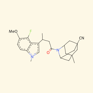 COc1ccc2c(c(C(C)CC(=O)N3C4CC5(C)CC3CC(C#N)(C4)C5)cn2C)c1F